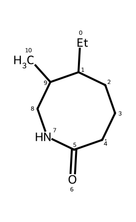 [CH2]CC1CC[CH]C(=O)NCC1C